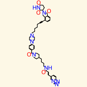 O=C(/C=C/c1ccc2nncn2c1)NCCCCC1CCN(C(=O)c2ccc(N3CCN(CCCCCC#Cc4cccc5c4CN(C4CCC(=O)NC4=O)C5=O)CC3)cc2)CC1